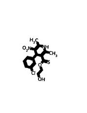 CC1=C(C(=S)OCCO)C(c2cccc(Cl)c2)C([N+](=O)[O-])=C(C)N1